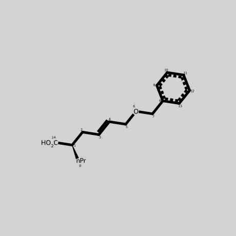 CCC[C@H](CC=CCOCc1ccccc1)C(=O)O